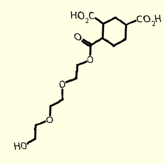 O=C(O)C1CCC(C(=O)OCCOCCOCCO)C(C(=O)O)C1